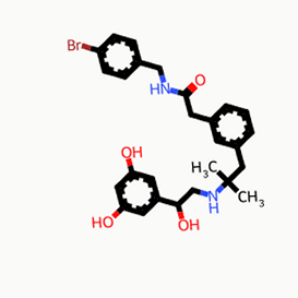 CC(C)(Cc1cccc(CC(=O)NCc2ccc(Br)cc2)c1)NCC(O)c1cc(O)cc(O)c1